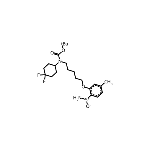 Cc1ccc([S+](N)[O-])c(OCCCCCN(C(=O)OC(C)(C)C)C2CCC(F)(F)CC2)c1